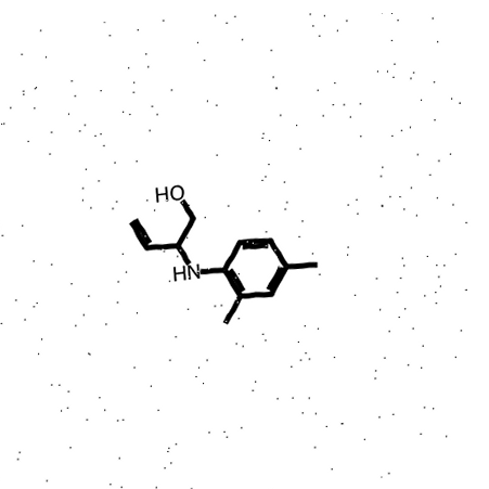 C=CC(CO)Nc1ccc(C)cc1C